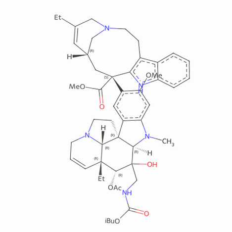 CCC1=C[C@@H]2CN(CCc3c([nH]c4ccccc34)[C@@](C(=O)OC)(c3cc4c(cc3OC)N(C)[C@H]3C(O)(CNC(=O)OCC(C)C)[C@H](OC(C)=O)[C@]5(CC)C=CCN6CC[C@]43[C@@H]65)C2)C1